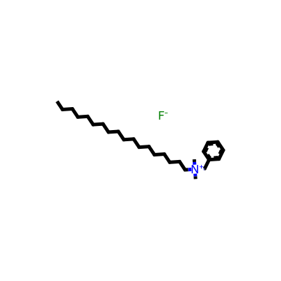 CCCCCCCCCCCCCCCCCC[N+](C)(C)Cc1ccccc1.[F-]